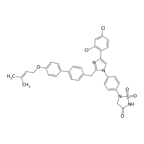 CC(C)=CCOc1ccc(-c2ccc(Cc3nc(-c4ccc(Cl)cc4Cl)cn3-c3ccc(N4CC(=O)NS4(=O)=O)cc3)cc2)cc1